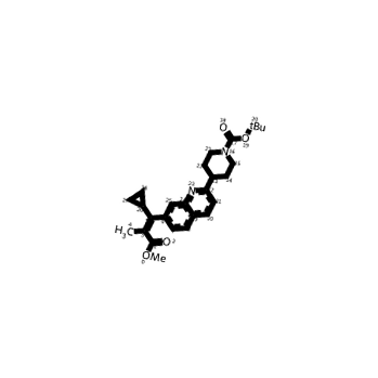 COC(=O)/C(C)=C(\c1ccc2ccc(C3CCN(C(=O)OC(C)(C)C)CC3)nc2c1)C1CC1